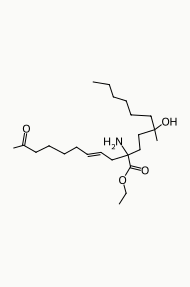 CCCCCCC(C)(O)CCC(N)(CC=CCCCCC(C)=O)C(=O)OCC